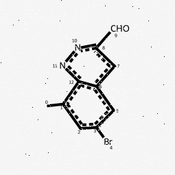 Cc1cc(Br)cc2cc(C=O)nnc12